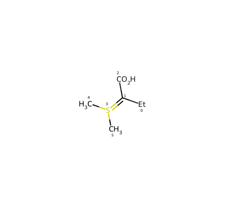 CCC(C(=O)O)=S(C)C